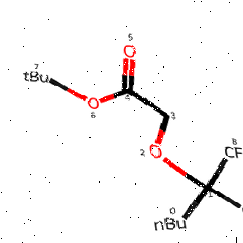 CCCCC(OCC(=O)OC(C)(C)C)(C(F)(F)F)C(F)(F)F